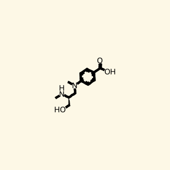 CN[C@H](CO)CN(C)c1ccc(C(=O)O)cc1